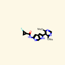 COc1ncnc(OC)c1-c1cc2cc(NC(=O)C3CC3F)ncc2[nH]1